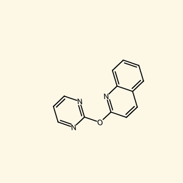 c1cnc(Oc2ccc3ccccc3n2)nc1